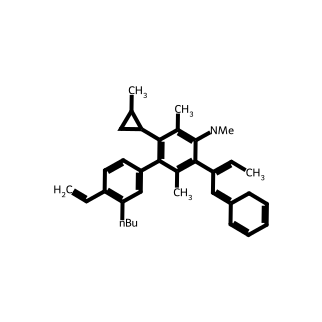 C=Cc1ccc(-c2c(C)c(C(/C=C3/C=CC=CC3)=C/C)c(NC)c(C)c2C2CC2C)cc1CCCC